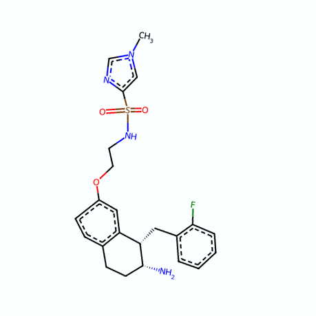 Cn1cnc(S(=O)(=O)NCCOc2ccc3c(c2)[C@H](Cc2ccccc2F)[C@H](N)CC3)c1